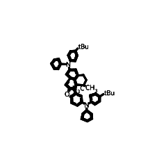 CC(C)(C)c1ccc(N(c2ccccc2)c2cc3c4c(c5c(cc4c2)oc2ccc(N(c4ccccc4)c4ccc(C(C)(C)C)cc4)cc25)C(C)(C)CC3)cc1